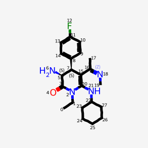 CCN1C(=O)[C@@H](N)[C@@H](c2ccc(F)cc2)C(/C(C)=N\C)=C1NC1CCCCC1